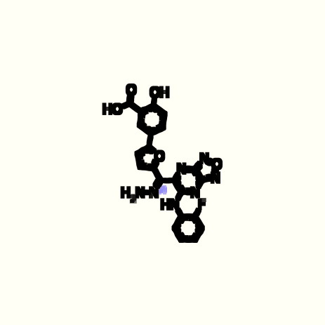 N/N=C(\c1ccc(-c2ccc(O)c(C(=O)O)c2)o1)c1nc2nonc2nc1Nc1ccccc1F